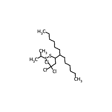 CCCCCCC(CCCCCC)C(CC(Cl)(Cl)Cl)SSC(C)C